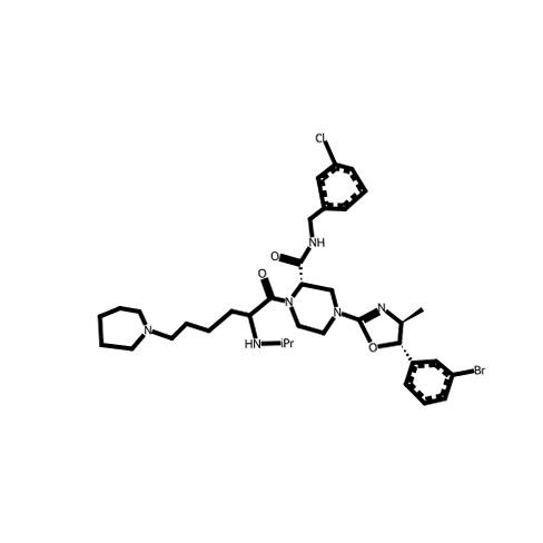 CC(C)NC(CCCCN1CCCCC1)C(=O)N1CCN(C2=N[C@@H](C)[C@H](c3cccc(Br)c3)O2)C[C@H]1C(=O)NCc1cccc(Cl)c1